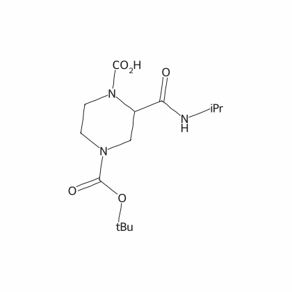 CC(C)NC(=O)C1CN(C(=O)OC(C)(C)C)CCN1C(=O)O